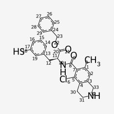 Cc1cc2c(c(Cl)c1C(=O)N[C@@H](Cc1cccc(S)c1)C(=O)OCc1ccccc1)CCNC2